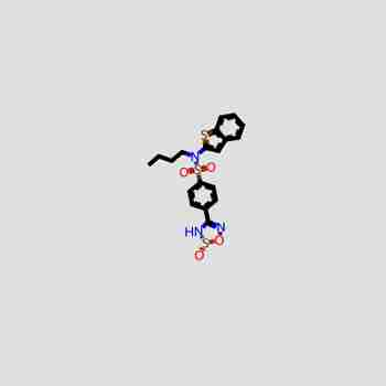 CCCCN(c1cc2ccccc2s1)S(=O)(=O)c1ccc(C2=NOS(=O)N2)cc1